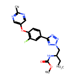 CC(C)(C)OC(=O)NC(CC(=O)O)Cn1nnc(-c2ccc(Oc3cnc(C#N)nc3)c(F)c2)n1